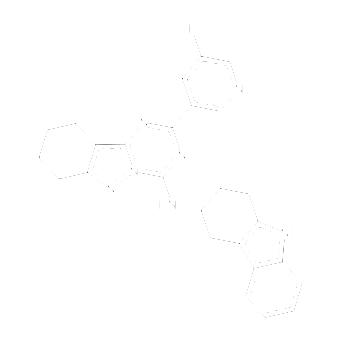 Fc1cncc(-c2nc(N[C@@H]3CCc4[nH]c5ccccc5c4C3)n3nc4c(c3n2)CCCC4)c1